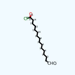 O=CCCCCCCCCCCCCCCC(=O)Cl